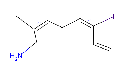 C=C/C(I)=C\C/C=C(/C)CN